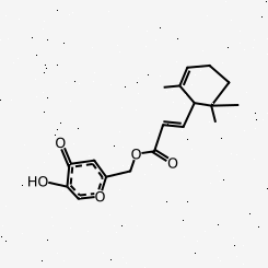 CC1=CCCC(C)(C)C1/C=C/C(=O)OCc1cc(=O)c(O)co1